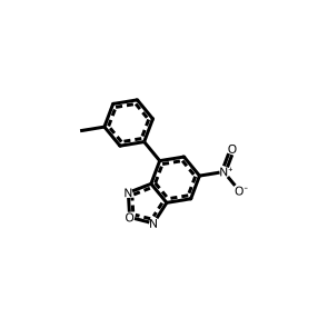 Cc1cccc(-c2cc([N+](=O)[O-])cc3nonc23)c1